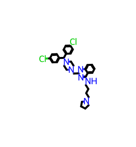 Clc1ccc(C(c2ccc(Cl)cc2)N2CCN(Cc3nc(NCCCCN4CCCC4)c4ccccc4n3)CC2)cc1